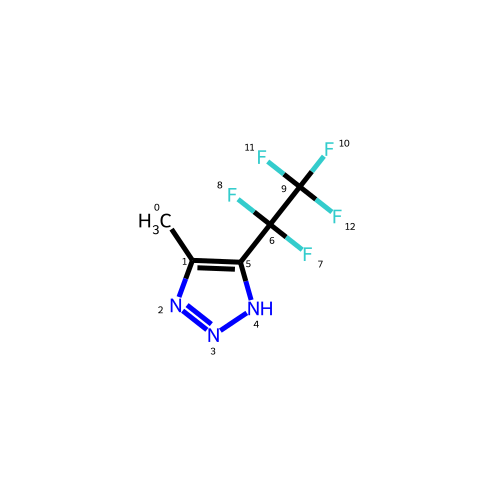 Cc1nn[nH]c1C(F)(F)C(F)(F)F